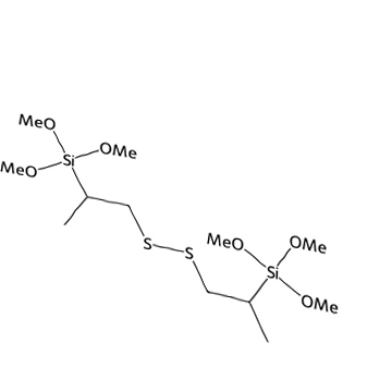 CO[Si](OC)(OC)C(C)CSSCC(C)[Si](OC)(OC)OC